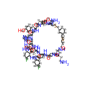 NCCCC[C@@H]1NC(=O)CCSCc2cccc(c2)CSC[C@@H](C(N)=O)NC(=O)[C@@H]2CCCN2C(=O)[C@H](Cc2ccc(O)cc2)NC(=O)[C@H](Cc2c[nH]cn2)NC(=O)[C@H](CC(=O)O)NC(=O)[C@H](Cc2c[nH]c3ccc(F)cc23)NC(=O)[C@H](Cc2c[nH]c3ccc(F)cc23)NC(=O)CNC1=O